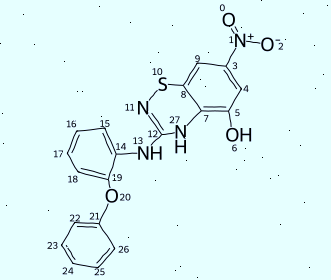 O=[N+]([O-])c1cc(O)c2c(c1)SN=C(Nc1ccccc1Oc1ccccc1)N2